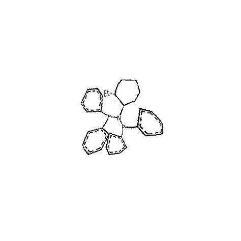 CC[C@@H]1CCCC[C@H]1N(P(c1ccccc1)c1ccccc1)P(c1ccccc1)c1ccccc1